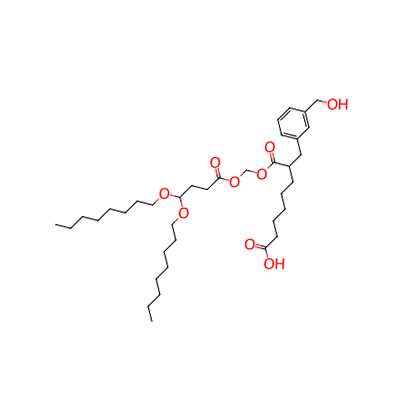 CCCCCCCCOC(CCC(=O)OCOC(=O)C(CCCCCC(=O)O)Cc1cccc(CO)c1)OCCCCCCCC